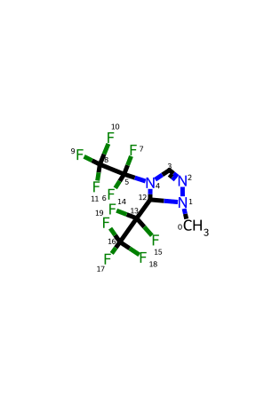 CN1N=CN(C(F)(F)C(F)(F)F)C1C(F)(F)C(F)(F)F